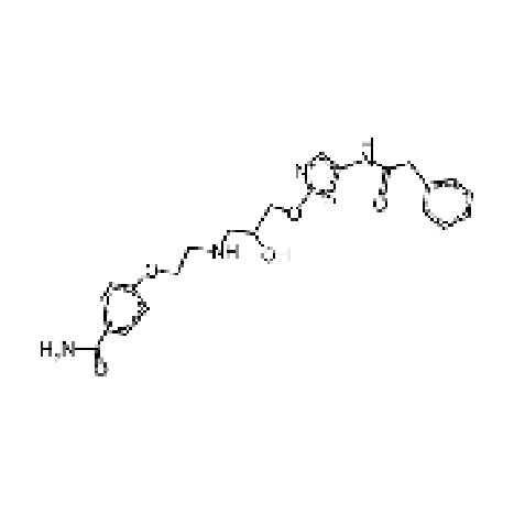 NC(=O)c1ccc(OCCNCC(O)COc2ncc(NC(=O)Cc3ccccc3)s2)cc1